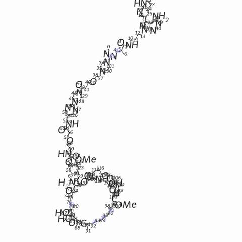 C=N/C(=N\C=C(/C)C(=O)NCCCCn1nc(-c2cnc3[nH]ccc3c2)c2c(N)ncnc21)N1CCN(CCOCCC(=O)N2CCN(c3ncc(CNC(=O)CCOCCNC(=O)O[C@@H]4CC[C@@H](C[C@@H](N)[C@@H]5CC(=O)[C@H](C)/C=C(\C)[C@@H](O)[C@@H](O)C(=O)[C@H](C)C[C@H](C)/C=C/C=C/C=C(\C)[C@@H](OC)C[C@@H]6CC[C@@H](C)[C@@](O)(O6)C(=O)C(=O)N6CCCC[C@H]6C(=O)O5)C[C@H]4OC)cn3)CC2)CC1